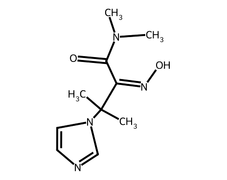 CN(C)C(=O)C(=NO)C(C)(C)n1ccnc1